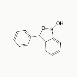 OB1OC(c2ccccc2)C2CC=CC=C12